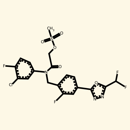 CS(=O)(=O)OCC(=O)N(Cc1ccc(-c2nnc(C(F)F)o2)cc1F)c1ccc(F)c(Cl)c1